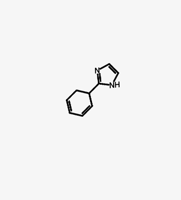 C1=CCC(c2ncc[nH]2)C=C1